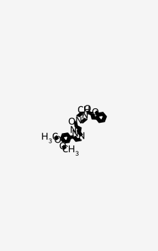 COc1ccc(-c2ccnc3cc(C(=O)N4CCN(C(=O)c5cc6ccccc6o5)[C@@H](C)C4)nn23)cc1OC